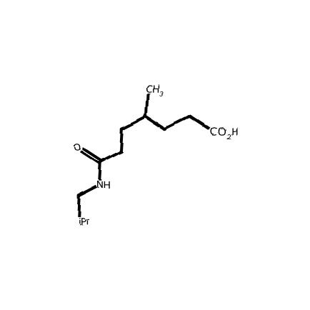 CC(C)CNC(=O)CCC(C)CCC(=O)O